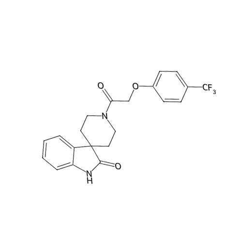 O=C(COc1ccc(C(F)(F)F)cc1)N1CCC2(CC1)C(=O)Nc1ccccc12